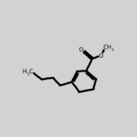 CCCCC1=CC(C(=O)OC)=C[CH]C1